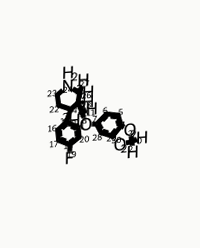 [2H]C1([2H])Oc2ccc(OC([2H])([2H])[C@]3([2H])C(c4ccc(F)cc4)CCNC3([2H])[2H])cc2O1